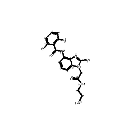 N#Cc1nc2c(NC(=O)c3c(Cl)cccc3Cl)cccc2n1CC(=O)NCCO